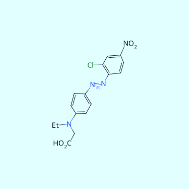 CCN(CC(=O)O)c1ccc(/N=N/c2ccc([N+](=O)[O-])cc2Cl)cc1